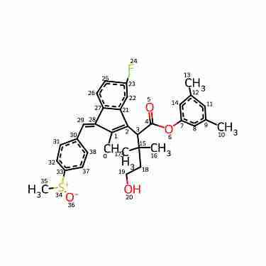 CC1=C(C(C(=O)Oc2cc(C)cc(C)c2)C(C)(C)CCO)c2cc(F)ccc2C1=Cc1ccc([S+](C)[O-])cc1